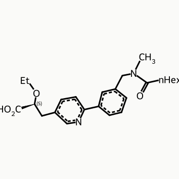 CCCCCCC(=O)N(C)Cc1cccc(-c2ccc(C[C@H](OCC)C(=O)O)cn2)c1